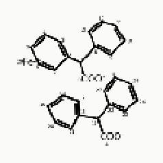 O=C([O-])C(c1ccccc1)c1ccccc1.O=C([O-])C(c1ccccc1)c1ccccc1.[Fe+2]